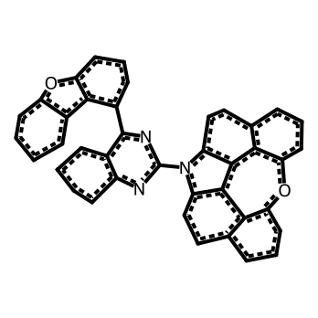 c1ccc2c(-c3cccc4oc5ccccc5c34)nc(-n3c4ccc5cccc6oc7cccc8ccc3c(c87)c4c56)nc2c1